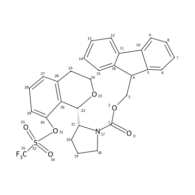 O=C(OCC1c2ccccc2-c2ccccc21)N1CCCC1[C@H]1OCCc2cccc(OS(=O)(=O)C(F)(F)F)c21